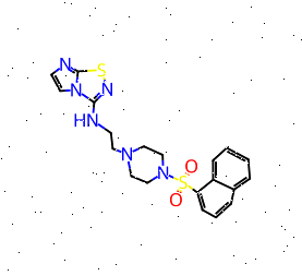 O=S(=O)(c1cccc2ccccc12)N1CCN(CCNc2nsc3nccn23)CC1